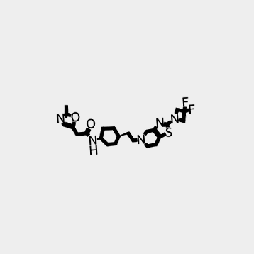 Cc1ncc(CC(=O)N[C@H]2CC[C@H](CCN3CCc4sc(N5CC(F)(F)C5)nc4C3)CC2)o1